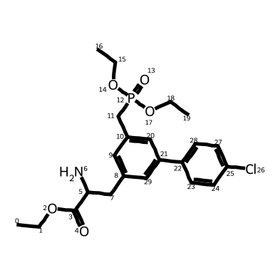 CCOC(=O)C(N)Cc1cc(CP(=O)(OCC)OCC)cc(-c2ccc(Cl)cc2)c1